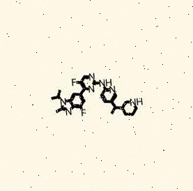 Cc1nc2c(F)cc(-c3nc(Nc4ccc(C(C)C5CCCNC5)cn4)ncc3F)cc2n1C(C)C